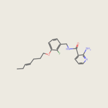 CCC=CCCCOc1cccc(CNC(=O)c2cccnc2N)c1F